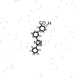 O=C(O)c1cccc(-c2cccc(-c3noc(-c4ccccc4)n3)c2)c1